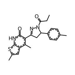 CCC(=O)N1N=C(c2c(C)c3cc(C)sc3[nH]c2=O)CC1c1ccc(C)cc1